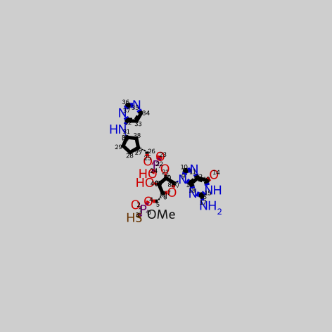 COP(=O)(S)OC[C@H]1O[C@@H](n2cnc3c(=O)[nH]c(N)nc32)[C@H](OP(=O)(O)OC[C@@H]2CC[C@H](Nc3ccncn3)C2)[C@@H]1O